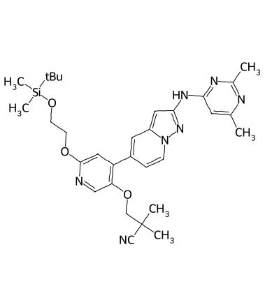 Cc1cc(Nc2cc3cc(-c4cc(OCCO[Si](C)(C)C(C)(C)C)ncc4OCC(C)(C)C#N)ccn3n2)nc(C)n1